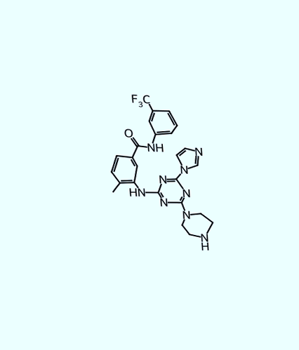 Cc1ccc(C(=O)Nc2cccc(C(F)(F)F)c2)cc1Nc1nc(N2CCNCC2)nc(-n2ccnc2)n1